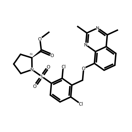 COC(=O)[C@@H]1CCCN1S(=O)(=O)c1ccc(Cl)c(COc2cccc3c(C)nc(C)nc23)c1Cl